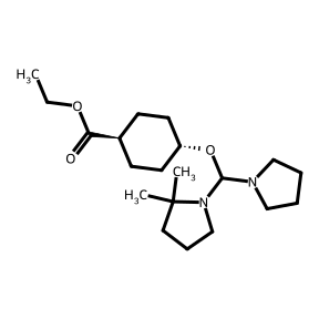 CCOC(=O)[C@H]1CC[C@H](OC(N2CCCC2)N2CCCC2(C)C)CC1